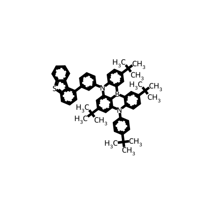 CC(C)(C)c1ccc(N2c3ccc(C(C)(C)C)cc3B3c4cc(C(C)(C)C)ccc4N(c4cccc(-c5cccc6sc7ccccc7c56)c4)c4cc(C(C)(C)C)cc2c43)cc1